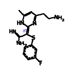 CC1=CC(CCN)=N/C(=C(\Sc2cccc(F)c2)C(=N)N)N1